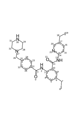 O=C(Nc1ccc(CI)cc1C(=O)Nc1ccc(CI)cn1)c1ccc(CN2CCNCC2)cc1